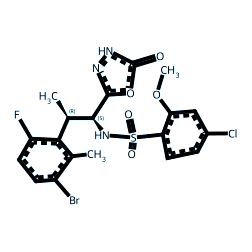 COc1cc(Cl)ccc1S(=O)(=O)N[C@H](c1n[nH]c(=O)o1)[C@H](C)c1c(F)ccc(Br)c1C